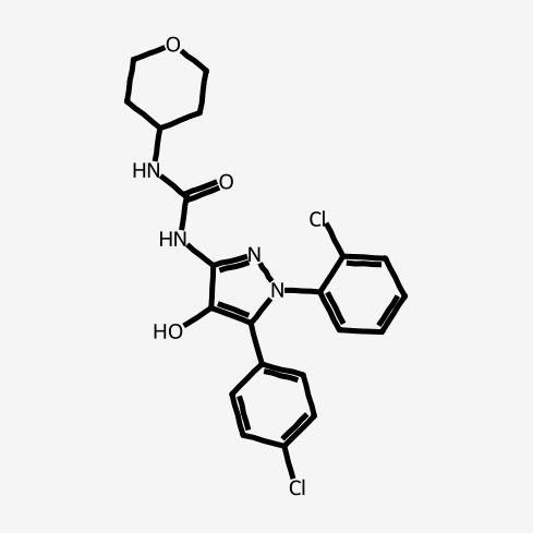 O=C(Nc1nn(-c2ccccc2Cl)c(-c2ccc(Cl)cc2)c1O)NC1CCOCC1